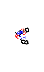 CC(=O)N1CCN(S(=O)(=O)c2ccccc2)CC1C(=O)NCc1ccc2ccccc2c1